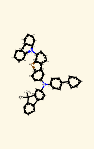 CC1(C)c2ccccc2-c2ccc(N(c3ccc(-c4ccccc4)cc3)c3ccc4sc5c(-n6c7ccccc7c7ccccc76)cccc5c4c3)cc21